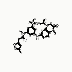 Cc1cc(CC(=O)N(C)c2cc(Nc3ncc4c(n3)N(C(C)C)CC(=O)N4C)cc(S(C)(=O)=O)c2)on1